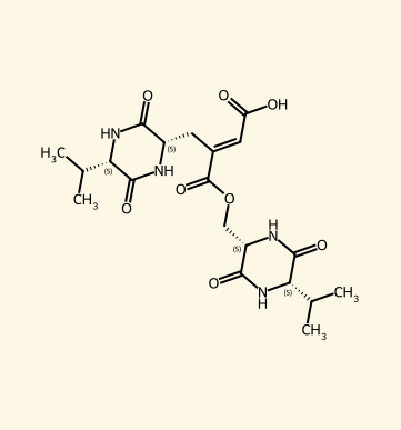 CC(C)[C@@H]1NC(=O)[C@H](COC(=O)C(=CC(=O)O)C[C@@H]2NC(=O)[C@H](C(C)C)NC2=O)NC1=O